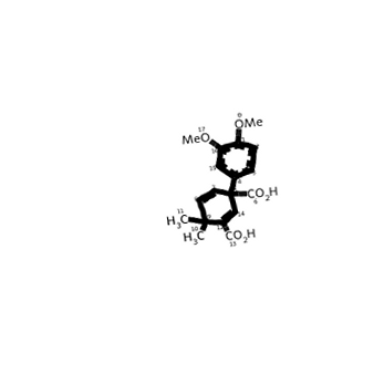 COc1ccc(C2(C(=O)O)C=CC(C)(C)C(C(=O)O)=C2)cc1OC